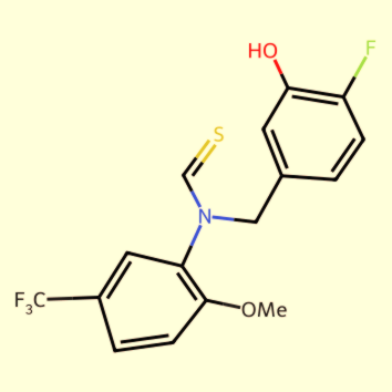 COc1ccc(C(F)(F)F)cc1N(C=S)Cc1ccc(F)c(O)c1